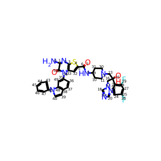 Nc1nc2sc(C(=O)NC3CCN(CC(O)(Cn4cncn4)c4ccc(F)cc4F)CC3)cc2n(-c2ccc3ccn(-c4ccccc4)c3c2)c1=O